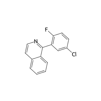 Fc1ccc(Cl)cc1-c1nccc2ccccc12